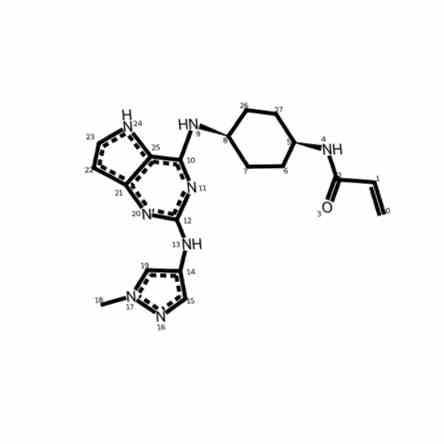 C=CC(=O)N[C@H]1CC[C@@H](Nc2nc(Nc3cnn(C)c3)nc3cc[nH]c23)CC1